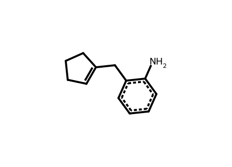 Nc1ccccc1CC1=CCCC1